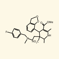 COC(=O)C1=C(C)NC(C)C(CCN(C)Cc2ccc(F)cc2)(C(=O)O)C1c1cccc2c1OOC2